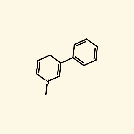 CN1C=CCC(c2ccccc2)=C1